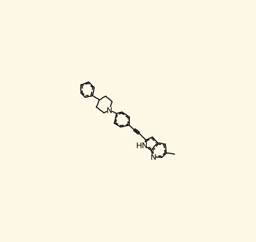 Cc1cnc2[nH]c(C#Cc3ccc(N4CCC(c5ccccc5)CC4)cc3)cc2c1